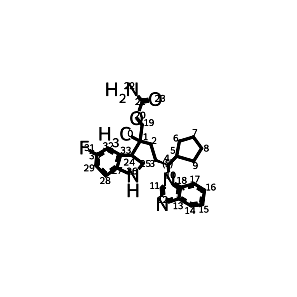 CC(CC[C@@H](C1CCCC1)n1cnc2ccccc21)(COC(N)=O)C1CNc2ccc(F)cc21